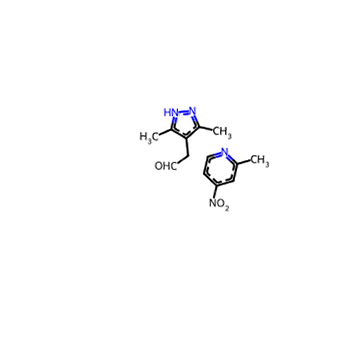 Cc1cc([N+](=O)[O-])ccn1.Cc1n[nH]c(C)c1CC=O